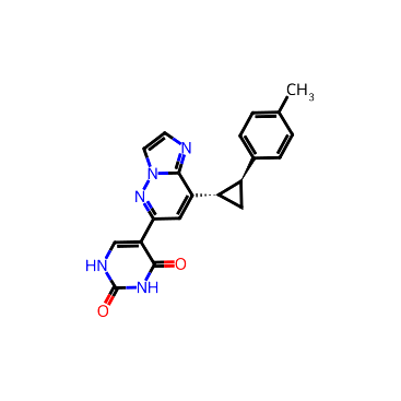 Cc1ccc([C@H]2C[C@@H]2c2cc(-c3c[nH]c(=O)[nH]c3=O)nn3ccnc23)cc1